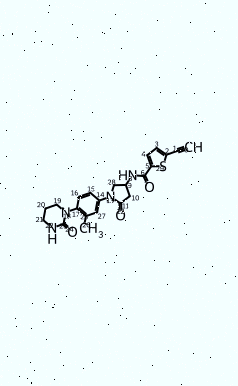 C#Cc1ccc(C(=O)NC2CC(=O)N(c3ccc(N4CCCNC4=O)c(C)c3)C2)s1